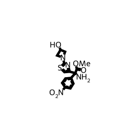 COC(=O)C(N)(c1ccc([N+](=O)[O-])cc1)c1csc(N2CC(O)C2)n1